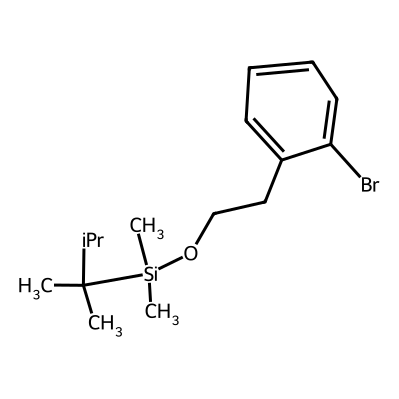 CC(C)C(C)(C)[Si](C)(C)OCCc1ccccc1Br